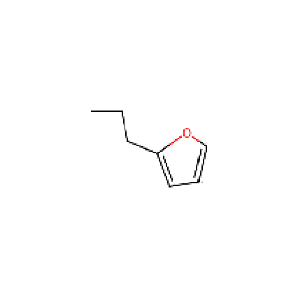 CCCc1c[c]co1